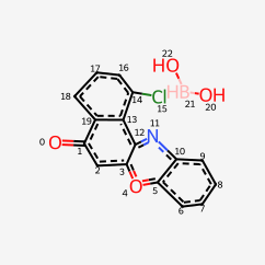 O=c1cc2oc3ccccc3nc-2c2c(Cl)cccc12.OBO